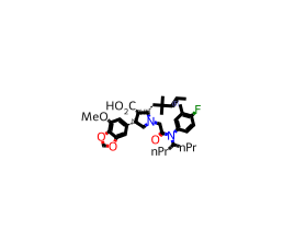 C/C=C/C(C)(C)C[C@H]1[C@H](C(=O)O)[C@@H](c2cc(OC)c3c(c2)OCO3)CN1CC(=O)N(c1ccc(F)c(C)c1)C(CCC)CCC